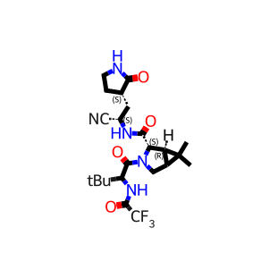 CC(C)(C)C(NC(=O)C(F)(F)F)C(=O)N1CC2[C@@H]([C@H]1C(=O)N[C@H](C#N)C[C@@H]1CCNC1=O)C2(C)C